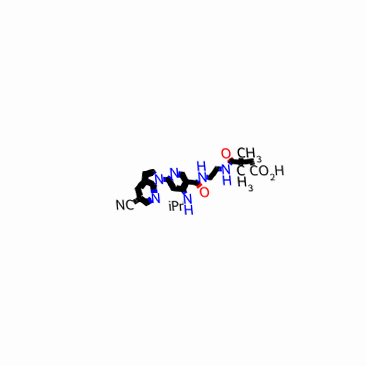 CC(C)Nc1cc(-n2ccc3cc(C#N)cnc32)ncc1C(=O)NCCNC(=O)C(C)(C)CC(=O)O